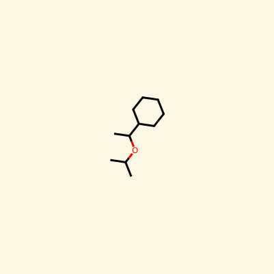 CC(C)OC(C)C1CCCCC1